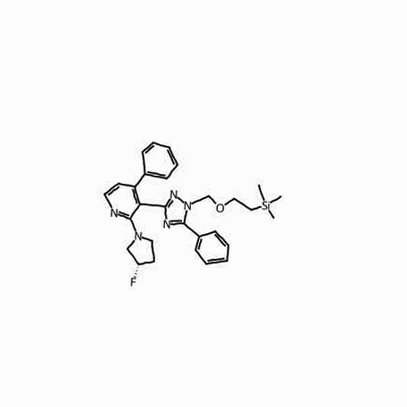 C[Si](C)(C)CCOCn1nc(-c2c(-c3ccccc3)ccnc2N2CC[C@H](F)C2)nc1-c1ccccc1